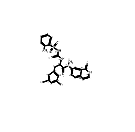 Cc1ccccc1S(=O)(=O)NC(=O)NC(Cc1cc(F)cc(F)c1)C(=O)N(C)c1ccc2cc[nH]c(=O)c2c1